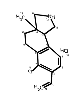 C=Cc1ccc2c(c1Cl)CCC1(C)CNCC21.Cl